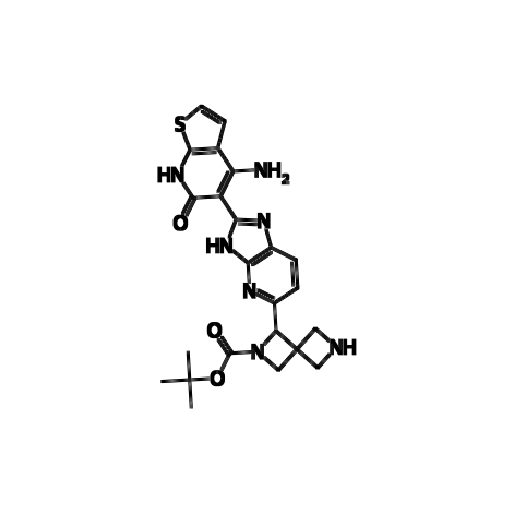 CC(C)(C)OC(=O)N1CC2(CNC2)C1c1ccc2nc(-c3c(N)c4ccsc4[nH]c3=O)[nH]c2n1